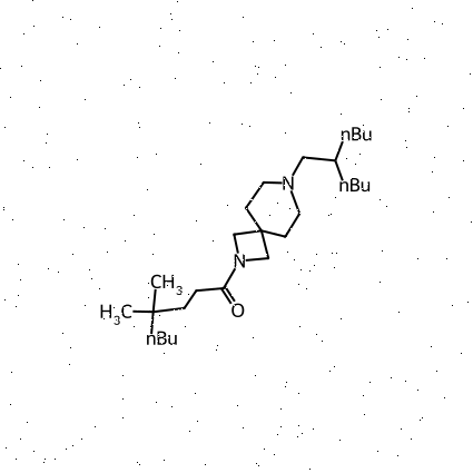 CCCCC(CCCC)CN1CCC2(CC1)CN(C(=O)CCC(C)(C)CCCC)C2